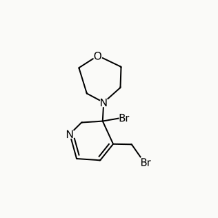 BrCC1=CC=NCC1(Br)N1CCOCC1